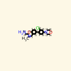 CN(Cc1cccc(-c2ccc(N3CCOCC3)cc2Cl)c1)C(=O)CN